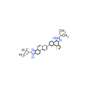 CCC(C)c1nc2c3c(ccc2[nH]1)C1=CC=C(c2ccc4c(c2)c2sccc2c2nc(C(C)CC)[nH]c42)CC1C=C3